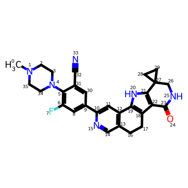 CN1CCN(c2c(F)cc(-c3cc4c(cn3)CCc3c-4[nH]c4c3C(=O)NCC43CC3)cc2C#N)CC1